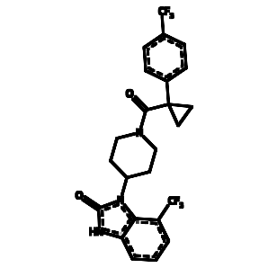 O=C(N1CCC(n2c(=O)[nH]c3cccc(C(F)(F)F)c32)CC1)C1(c2ccc(C(F)(F)F)cc2)CC1